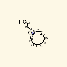 OCCCO/C1=C/CCCCCCCCCC1